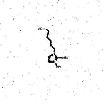 CCCCCCCCCCCCCCC[n+]1ccn(CCC)c1CCCC